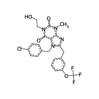 Cn1c(=O)n(CCO)c(=O)c2c1nc(Cc1cccc(OC(F)(F)F)c1)n2Cc1ccc(Cl)cc1